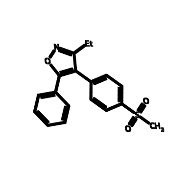 CCc1noc(-c2ccccc2)c1-c1ccc(S(C)(=O)=O)cc1